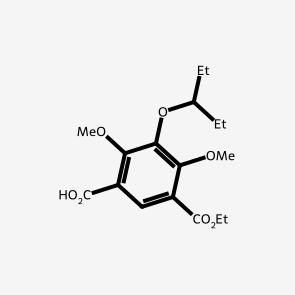 CCOC(=O)c1cc(C(=O)O)c(OC)c(OC(CC)CC)c1OC